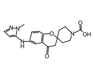 Cn1nccc1Nc1ccc2c(c1)C(=O)CC1(CCN(C(=O)O)CC1)O2